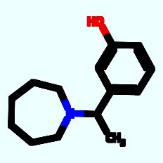 CC(c1cccc(O)c1)N1CCCCCC1